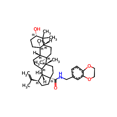 C=C(C)[C@@H]1CC[C@]2(C(=O)NCc3ccc4c(c3)OCCO4)CC[C@]3(C)[C@H](CC[C@@H]4[C@@]5(C)CC[C@H](O)C(C)(C)[C@@H]5CC[C@]43C)[C@@H]12